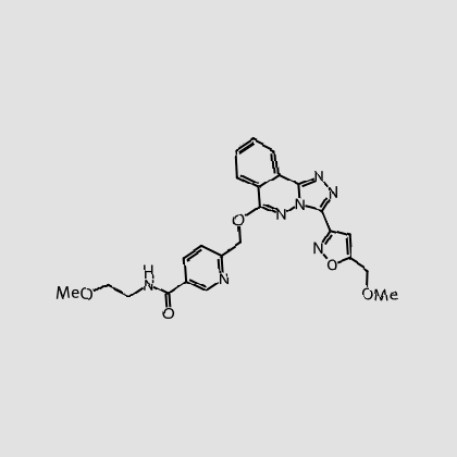 COCCNC(=O)c1ccc(COc2nn3c(-c4cc(COC)on4)nnc3c3ccccc23)nc1